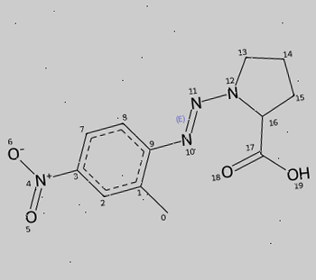 Cc1cc([N+](=O)[O-])ccc1/N=N/N1CCCC1C(=O)O